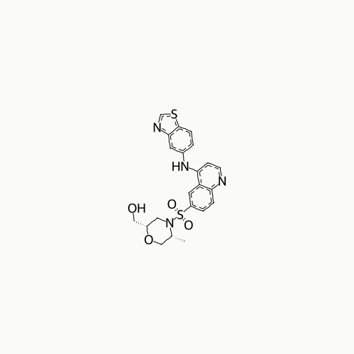 C[C@@H]1CO[C@H](CO)CN1S(=O)(=O)c1ccc2nccc(Nc3ccc4scnc4c3)c2c1